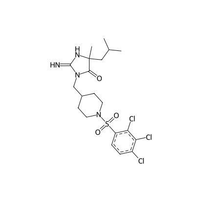 CC(C)CC1(C)NC(=N)N(CC2CCN(S(=O)(=O)c3ccc(Cl)c(Cl)c3Cl)CC2)C1=O